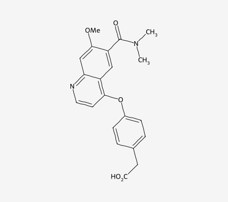 COc1cc2nccc(Oc3ccc(CC(=O)O)cc3)c2cc1C(=O)N(C)C